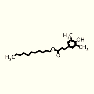 CCCCCCCCCCCOC(=O)CCc1cc(C)c(O)c(C)c1